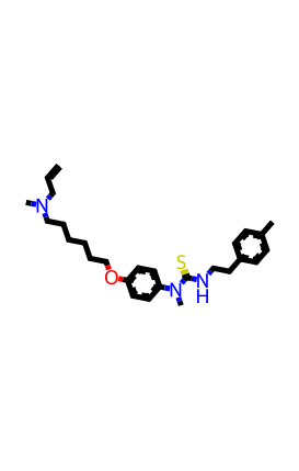 C=CCN(C)CCCCCCOc1ccc(N(C)C(=S)NCCc2ccc(C)cc2)cc1